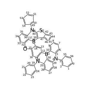 c1ccc(N2c3ccccc3B3c4cc5c(cc4N(c4ccccc4)c4cccc2c43)Oc2cccc3c2B5c2c(sc4ccccc24)N3c2ccccc2)cc1